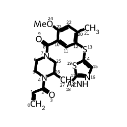 C=CC(=O)N1CCN(C(=O)c2cc(Sc3cnc(NC(C)=O)s3)c(C)cc2OC)CC1C